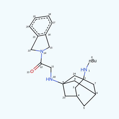 CCCCNC12CC3CC(C1)CC(NCC(=O)N1Cc4ccccc4C1)(C3)C2